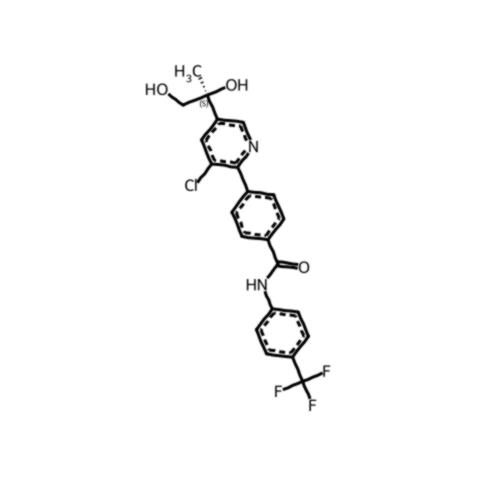 C[C@@](O)(CO)c1cnc(-c2ccc(C(=O)Nc3ccc(C(F)(F)F)cc3)cc2)c(Cl)c1